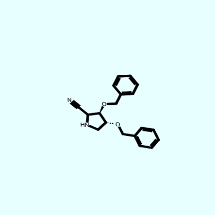 N#CC1NC[C@@H](OCc2ccccc2)[C@@H]1OCc1ccccc1